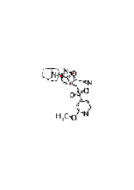 COc1cc(S(=O)(=O)CCC(=O)N2CC3CCC(C2)N3c2ccc(C#N)cn2)ccn1